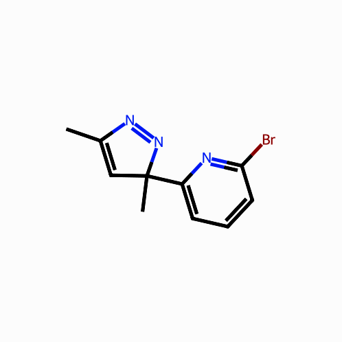 CC1=CC(C)(c2cccc(Br)n2)N=N1